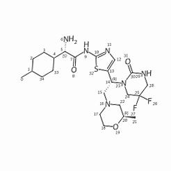 CC1CCC([C@H](N)C(=O)Nc2ncc([C@@H](CN3CCO[C@H](C)C3)N3CC(F)(F)CNC3=O)s2)CC1